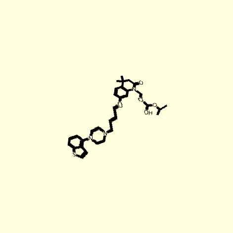 CC(C)OC(O)OCN1C(=O)CC(C)(C)c2ccc(OCCCCN3CCN(c4cccc5sccc45)CC3)cc21